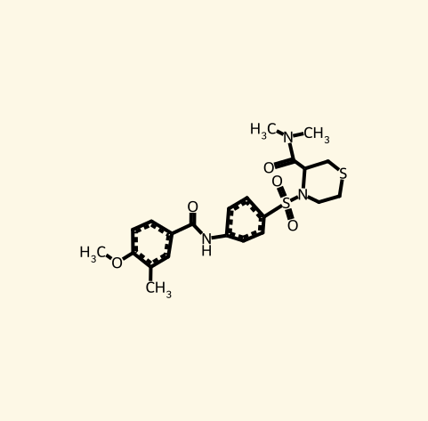 COc1ccc(C(=O)Nc2ccc(S(=O)(=O)N3CCSCC3C(=O)N(C)C)cc2)cc1C